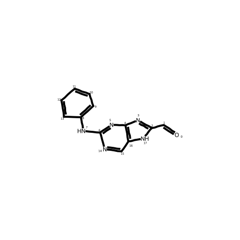 O=Cc1nc2nc(Nc3ccccc3)ncc2[nH]1